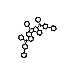 c1ccc(-c2ccc(N(c3ccccc3)c3cccc4c3ccc3c4c4c5ccccc5c(N(c5ccccc5)c5ccc(-c6ccccc6)cc5)cc4n3-c3ccccc3)cc2)cc1